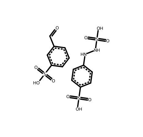 O=Cc1cccc(S(=O)(=O)O)c1.O=S(=O)(O)NNc1ccc(S(=O)(=O)O)cc1